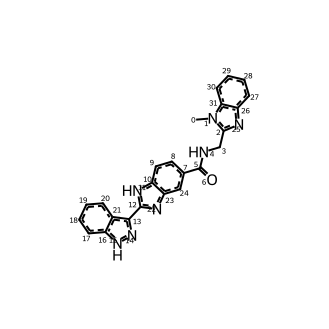 Cn1c(CNC(=O)c2ccc3[nH]c(-c4n[nH]c5ccccc45)nc3c2)nc2ccccc21